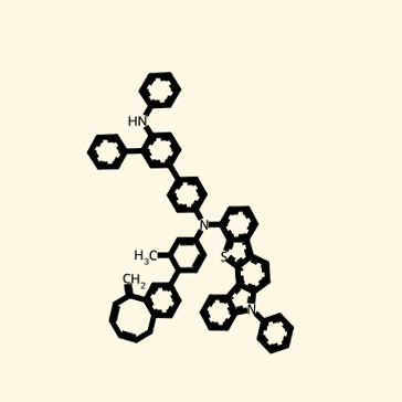 C=C1/C=C\C=C/Cc2ccc(C3C=CC(N(c4ccc(-c5ccc(Nc6ccccc6)c(-c6ccccc6)c5)cc4)c4cccc5c4sc4c5ccc5c4c4ccccc4n5-c4ccccc4)=CC3C)cc21